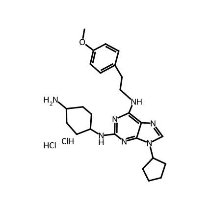 COc1ccc(CCNc2nc(NC3CCC(N)CC3)nc3c2ncn3C2CCCC2)cc1.Cl.Cl